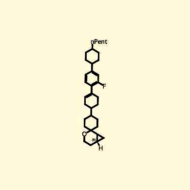 CCCCCC1CCC(c2ccc(C3=CCC(C4CCC5(CC4)OCC[C@H]4CC45)CC3)c(F)c2)CC1